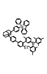 CCc1ccc(-c2ccc(C34CC5CC(C3)CC(c3ccc([Si]6(c7ccccc7)c7ccccc7-c7ccccc76)cc3)(C5)C4)cc2)cc1-c1cc(B(c2c(C)cc(C)cc2C)c2c(C)cc(C)cc2C)ccc1C